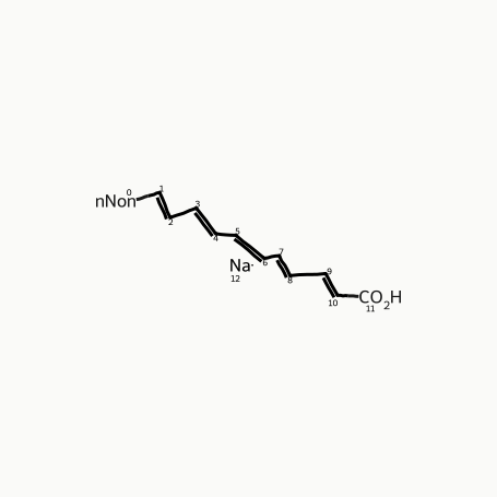 CCCCCCCCCC=CC=CC=CC=CC=CC(=O)O.[Na]